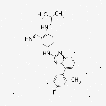 Cc1cc(F)ccc1-c1cccn2nc(NC3CCC(NCC(C)C)=C(C=N)C3)nc12